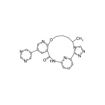 CC1CCCOc2ncc(-c3cncnc3)cc2C(=O)Nc2cccc(n2)-c2nncn21